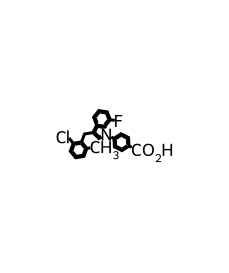 Cc1cccc(Cl)c1Cc1cn(-c2ccc(C(=O)O)cc2)c2c(F)cccc12